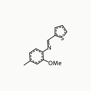 COc1cc(C)ccc1N=Cc1cccs1